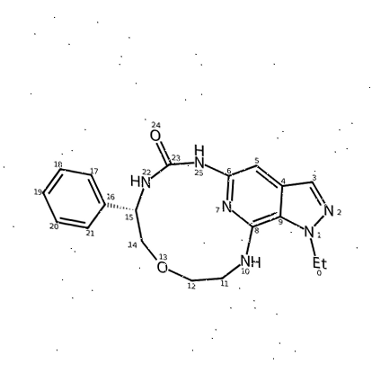 CCn1ncc2cc3nc(c21)NCCOC[C@H](c1ccccc1)NC(=O)N3